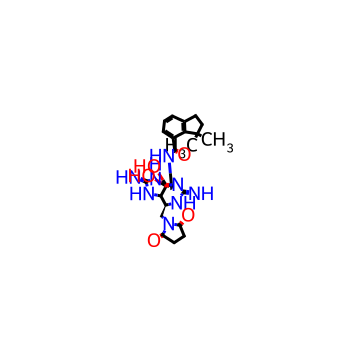 CC1(C)CCc2cccc(C(=O)NC3CN4C(=N)N[C@@H](CN5C(=O)CCC5=O)C5NC(=N)NC54C3(O)O)c21